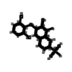 Cn1c(=O)c(Oc2c(Cl)cccc2Cl)cc2cnc(S(C)(=O)=O)nc21